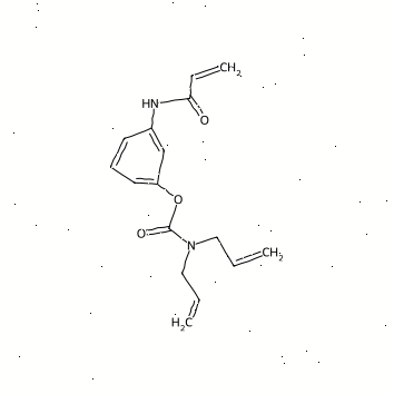 C=CCN(CC=C)C(=O)Oc1cccc(NC(=O)C=C)c1